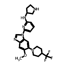 COc1cc2ncn(-c3cccc(NC4CCNC4)n3)c2cc1N1CCC(C(F)(F)F)CC1